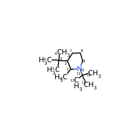 CC1C(C(C)(C)C)CCCN1C(C)(C)C